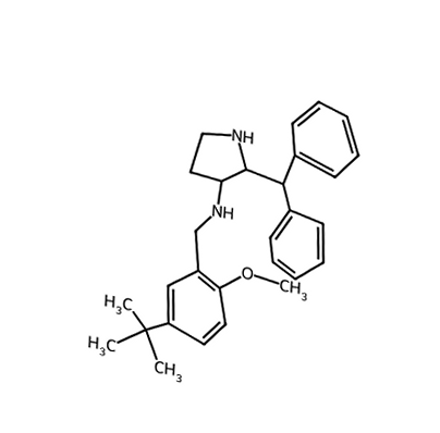 COc1ccc(C(C)(C)C)cc1CNC1CCNC1C(c1ccccc1)c1ccccc1